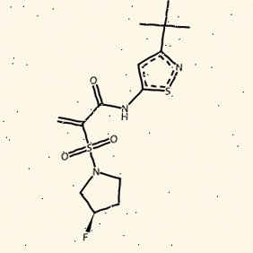 C=C(C(=O)Nc1cc(C(C)(C)C)ns1)S(=O)(=O)N1CC[C@@H](F)C1